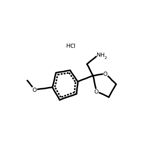 COc1ccc(C2(CN)OCCO2)cc1.Cl